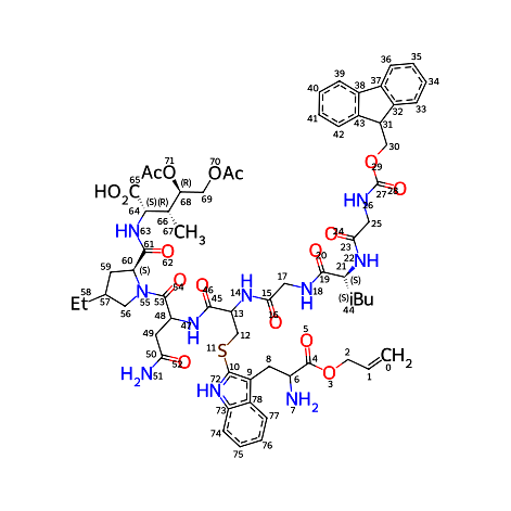 C=CCOC(=O)C(N)Cc1c(SCC(NC(=O)CNC(=O)[C@@H](NC(=O)CNC(=O)OCC2c3ccccc3-c3ccccc32)[C@@H](C)CC)C(=O)NC(CC(N)=O)C(=O)N2CC(CC)C[C@H]2C(=O)N[C@H](C(=O)O)[C@@H](C)[C@H](COC(C)=O)OC(C)=O)[nH]c2ccccc12